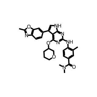 Cc1nc2ccc(-c3c[nH]c4nc(Nc5ccc(C(=O)N(C)C)cc5C)nc(OC5CCCOC5)c34)cc2o1